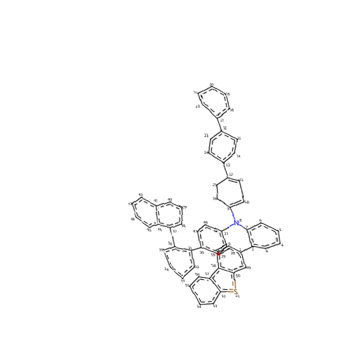 c1c(-c2ccccc2N(C2=CC=C(c3ccc(-c4ccccc4)cc3)CC2)c2ccc(-c3ccccc3-c3cccc4ccccc34)cc2)cc2sc3ccccc3c2c#1